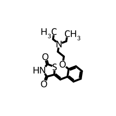 CCN(CC)CCOc1ccccc1C=C1SC(=O)NC1=O